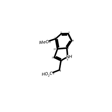 COc1cccc2[nH]c(CC(=O)O)cc12